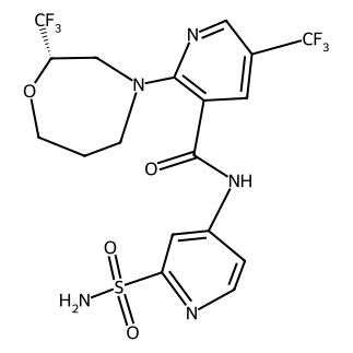 NS(=O)(=O)c1cc(NC(=O)c2cc(C(F)(F)F)cnc2N2CCCO[C@H](C(F)(F)F)C2)ccn1